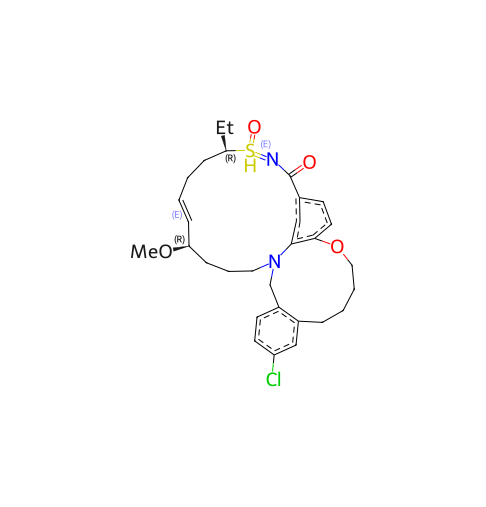 CC[C@@H]1CC/C=C/[C@H](OC)CCCN2Cc3ccc(Cl)cc3CCCCOc3ccc(cc32)C(=O)/N=[SH]\1=O